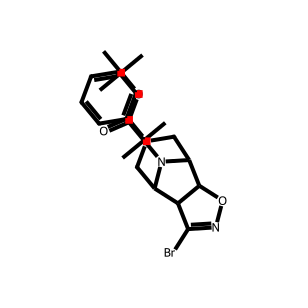 CC(C)(C)OC(=O)N1CC2C3ON=C(Br)C3C(C1)N2C(C)(C)c1ccccc1